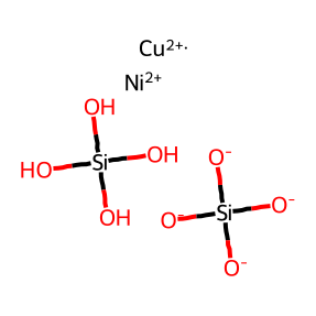 O[Si](O)(O)O.[Cu+2].[Ni+2].[O-][Si]([O-])([O-])[O-]